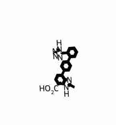 Cc1nc2c(-c3ccc(-c4ccccc4-c4nnn[nH]4)cc3)ccc(C(=O)O)c2[nH]1